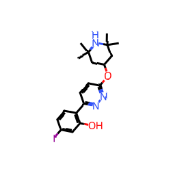 CC1(C)CC(Oc2ccc(-c3ccc(I)cc3O)nn2)CC(C)(C)N1